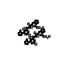 CN1CCCN1c1nc(Cl)nc(NNC(=O)[C@@H](CNC(=O)O)CC2CCCC2)c1F.CN1CCCN1c1nc(Cl)nc(NNC(=O)[C@@H](CNC(=O)O)CC2CCCC2)c1F